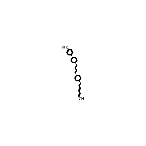 CCCc1ccc([C@H]2CC[C@H](CCCC[C@H]3CC[C@H](CCC=CC=CC#N)CC3)CC2)cc1